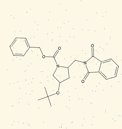 CC(C)(C)OC1CC(CN2C(=O)c3ccccc3C2=O)N(C(=O)OCc2ccccc2)C1